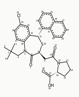 CC(C)(C)CN1C(=O)[C@H](CC(=O)N2CCC[C@@H]2C(=O)O)S[C@@H](c2cccc3ccccc23)c2cc(Cl)ccc21